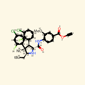 C#COC(=O)c1ccc(NC(=O)[C@@H]2N[C@@H](CC(C)(C)C)[C@](C#N)(c3ccc(Cl)cc3F)[C@H]2c2cccc(Cl)c2F)c(OC)c1